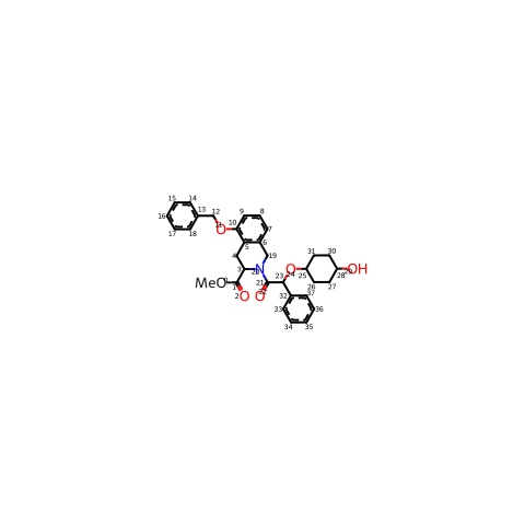 COC(=O)C1Cc2c(cccc2OCc2ccccc2)CN1C(=O)C(OC1CCC(O)CC1)c1ccccc1